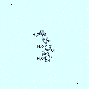 C/C(=C\[C@@H]1C[C@@H](OC(=O)N(C)C)CN1)C1=C(C(=O)O)N2C(=O)[C@H]([C@@H](C)O)[C@H]2C1